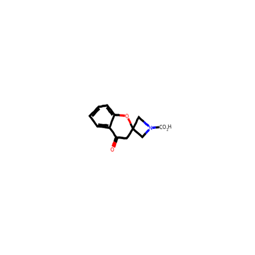 O=C1CC2(CN(C(=O)O)C2)Oc2ccccc21